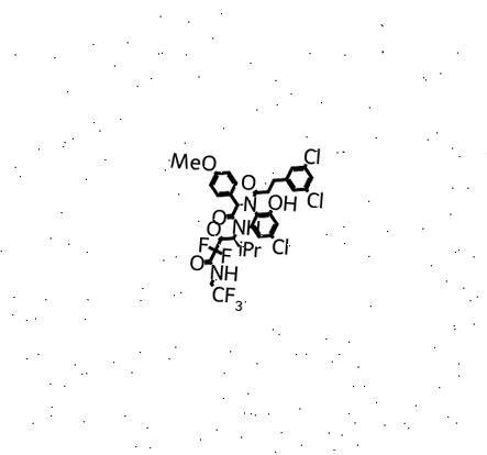 COc1ccc([C@@H](C(=O)N[C@H](C(=O)C(F)(F)C(=O)NCC(F)(F)F)C(C)C)N(C(=O)CCc2cc(Cl)cc(Cl)c2)c2ccc(Cl)cc2O)cc1